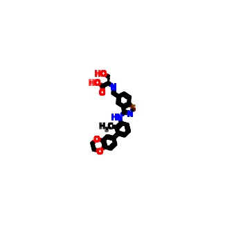 Cc1c(Nc2nsc3ccc(C=N[C@@H](CO)C(=O)O)cc23)cccc1-c1ccc2c(c1)OCCO2